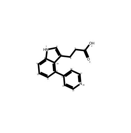 O=C(O)CCc1c[nH]c2cccc(-c3ccncc3)c12